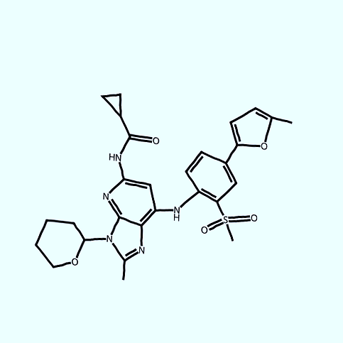 Cc1ccc(-c2ccc(Nc3cc(NC(=O)C4CC4)nc4c3nc(C)n4C3CCCCO3)c(S(C)(=O)=O)c2)o1